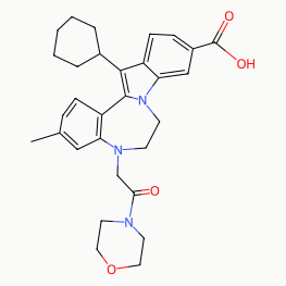 Cc1ccc2c(c1)N(CC(=O)N1CCOCC1)CCn1c-2c(C2CCCCC2)c2ccc(C(=O)O)cc21